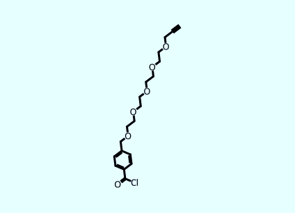 C#CCOCCOCCOCCOCCOCc1ccc(C(=O)Cl)cc1